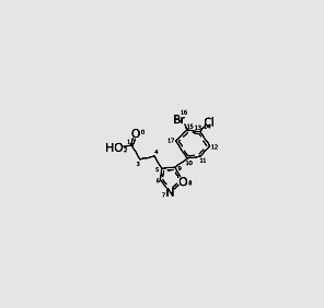 O=C(O)CCc1cnoc1-c1ccc(Cl)c(Br)c1